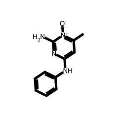 Cc1cc(Nc2ccccc2)nc(N)[n+]1[O-]